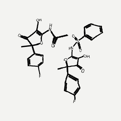 CC(=O)NC1=C(O)C(=O)C(C)(c2ccc(F)cc2)O1.CC1(c2ccc(F)cc2)OC(NS(=O)(=O)c2ccccc2)=C(O)C1=O